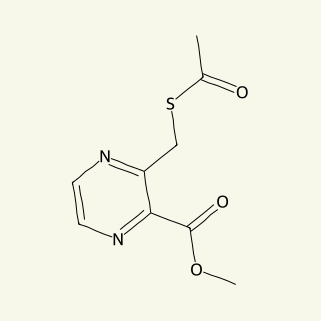 COC(=O)c1nccnc1CSC(C)=O